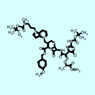 BOC(=O)[C@H](C)O/N=C(\C(=O)NC1C(=O)N2C(C(=O)OCc3ccc(OC)cc3)=C(C[n+]3cccc4c3ccn4CCCN(C)C(=O)OC(C)(C)C)CSC12)c1nc(NC(=O)OC(C)(C)C)sc1Cl